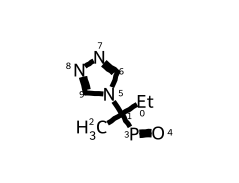 CCC(C)(P=O)n1cnnc1